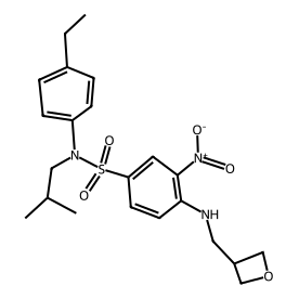 CCc1ccc(N(CC(C)C)S(=O)(=O)c2ccc(NCC3COC3)c([N+](=O)[O-])c2)cc1